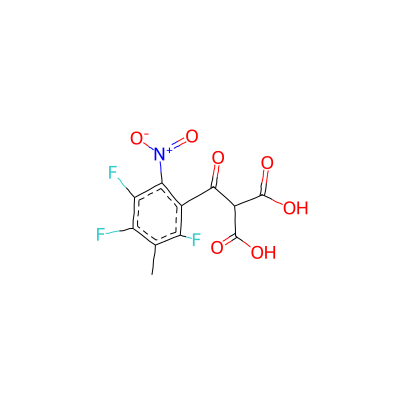 Cc1c(F)c(F)c([N+](=O)[O-])c(C(=O)C(C(=O)O)C(=O)O)c1F